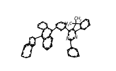 CC1(C)c2ccccc2-c2nc(-c3ccccc3)nc(-c3cccc(-c4c5ccccc5c(-c5ccc6ccccc6c5)c5ccccc45)c3)c21